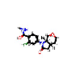 CNC(=O)c1ccc(N2C(=O)C[C@H]3CCOC[C@@H]32)cc1F